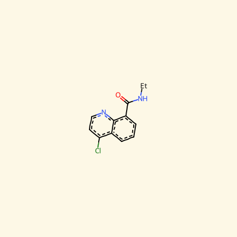 CCNC(=O)c1cccc2c(Cl)ccnc12